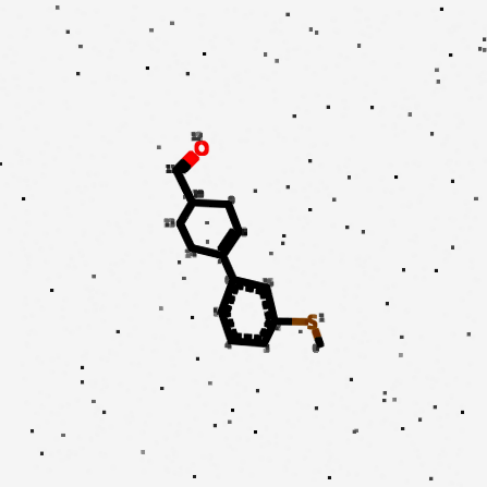 CSc1cccc(C2=CCC(C=O)CC2)c1